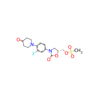 CS(=O)(=O)OC[C@H]1CN(c2ccc(N3CCC(=O)CC3)c(F)c2)C(=O)O1